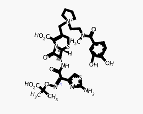 CN(CC[N+]1(CC2=C(C(=O)O)N3C(=O)[C@@H](NC(=O)/C(=N\OC(C)(C)C(=O)O)c4csc(N)n4)[C@H]3SC2)CCCC1)C(=O)c1ccc(O)c(O)c1